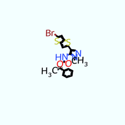 C[C@@H](OC(=O)Nc1c(-c2cc3sc(Br)cc3s2)cnn1C)c1ccccc1